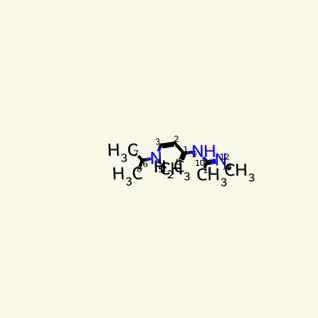 C=C(/C=C\N(C)C(C)C)N/C(C)=N/C